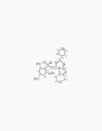 CC(C)c1cc(C(C)C)c(S(=O)(=O)Oc2nc(-c3ccncc3)nc3sc4c(c23)CCSC4)c(C(C)C)c1